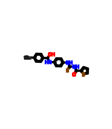 CC(C)(C)c1ccc(C(O)Nc2ccc(NC(=S)NC(=O)c3cccs3)cc2)cc1